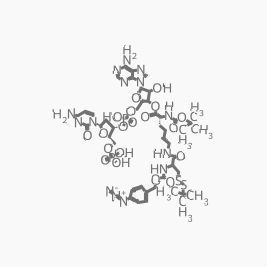 CC(C)(C)OC(=O)N[C@H](CCCCNC(=O)C(CSSC(C)(C)C)NC(=O)OCc1ccc(N=[N+]=[N-])cc1)C(=O)OC1C(COP(=O)(O)O[C@H]2C[C@H](n3ccc(N)nc3=O)O[C@@H]2COP(=O)(O)O)OC(n2cnc3c(N)ncnc32)C1O